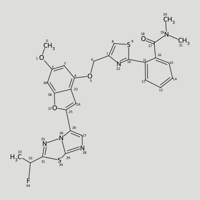 COc1cc(OCc2csc(-c3ccccc3C(=O)N(C)C)n2)c2cc(-c3cnc4sc(C(C)F)nn34)oc2c1